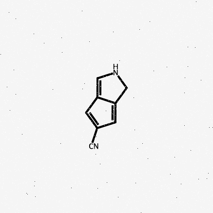 N#CC1=CC2=CNCC2=C1